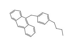 CCCCc1ccc(Cc2c3ccccc3cc3ccccc23)cc1